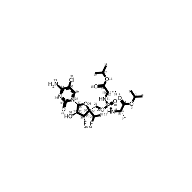 CC(C)OC(=O)[C@H](C)NP(=O)(N[C@@H](C)C(=O)OC(C)C)OC[C@@]1(C(F)F)O[C@@H](n2cc(Cl)c(N)nc2=O)[C@H](O)[C@H]1F